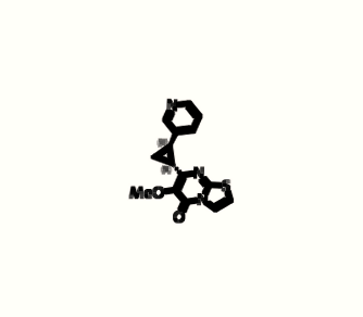 COc1c([C@@H]2C[C@H]2c2cccnc2)nc2sccn2c1=O